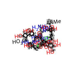 CN[C@H](CC(C)C)C(=O)N[C@H]1C(=O)NC(CC(N)=O)C(=O)N[C@H]2C(=O)N[C@H]3C(=O)N[C@H](C(=O)N[C@H](C(=O)O)c4cc(O)cc(O)c4-c4cc3ccc4O)[C@H](O)c3ccc(c(Cl)c3)Oc3cc2cc(c3O[C@@H]2O[C@H](CO)[C@@H](O)[C@H](O)[C@H]2O[C@H]2C[C@](C)(N)[C@H](O)[C@H](C)O2)Oc2ccc(cc2Cl)[C@H]1O